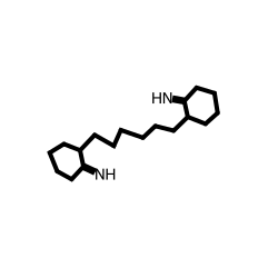 N=C1CCCCC1CCCCCCC1CCCCC1=N